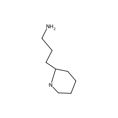 NCCCC1CCCC[N]1